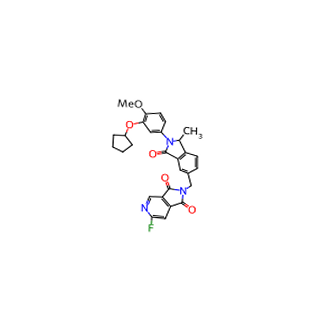 COc1ccc(N2C(=O)c3cc(CN4C(=O)c5cnc(F)cc5C4=O)ccc3C2C)cc1OC1CCCC1